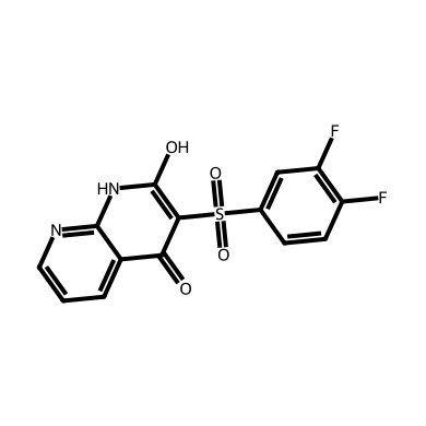 O=c1c(S(=O)(=O)c2ccc(F)c(F)c2)c(O)[nH]c2ncccc12